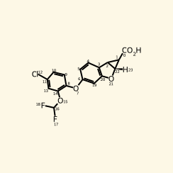 O=C(O)C1C2c3ccc(Oc4ccc(Cl)cc4OC(F)F)cc3O[C@@H]12